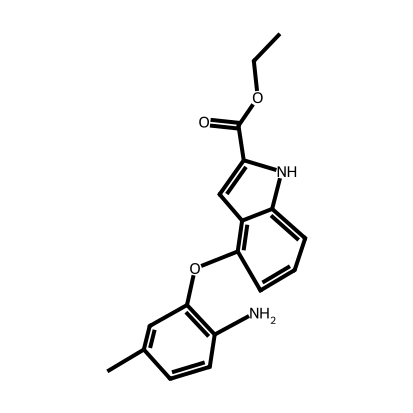 CCOC(=O)c1cc2c(Oc3cc(C)ccc3N)cccc2[nH]1